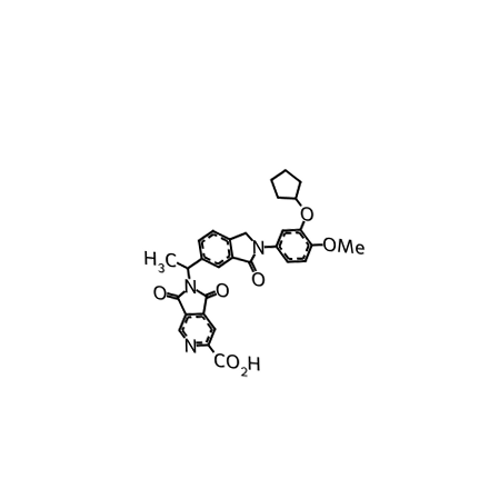 COc1ccc(N2Cc3ccc(C(C)N4C(=O)c5cnc(C(=O)O)cc5C4=O)cc3C2=O)cc1OC1CCCC1